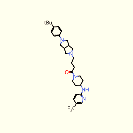 CC(C)(C)c1ccc(N2CC3CN(CCCC(=O)N4CCC(Nc5ccc(C(F)(F)F)cn5)CC4)CC3C2)cc1